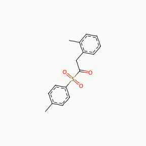 Cc1ccc(S(=O)(=O)C(=O)Cc2ccccc2C)cc1